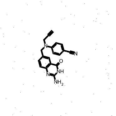 C#CCN(Cc1ccc2nc(N)[nH]c(=O)c2c1)c1ccc(C#N)cc1